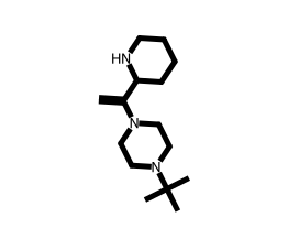 C=C(C1CCCCN1)N1CCN(C(C)(C)C)CC1